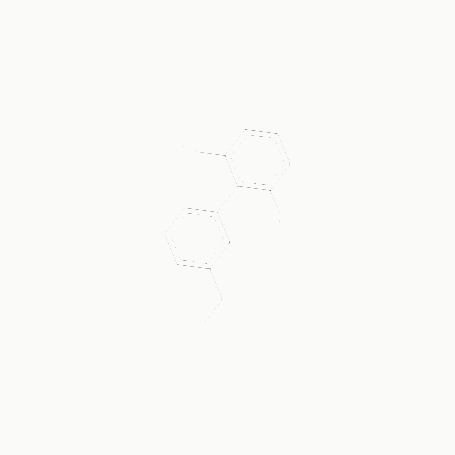 CCc1cccc(-c2c(Cl)cccc2Br)c1